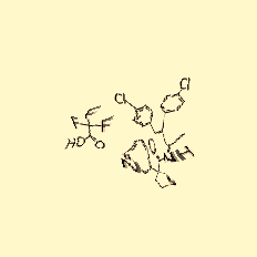 CC(NC(=O)C1(c2cccnc2)CCCC1)C(Cc1ccc(Cl)cc1)c1ccc(Cl)cc1.O=C(O)C(F)(F)F